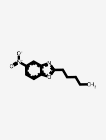 CCCCCc1nc2cc([N+](=O)[O-])ccc2o1